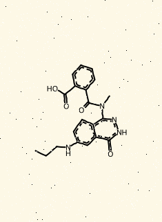 CCCNc1ccc2c(N(C)C(=O)c3ccccc3C(=O)O)n[nH]c(=O)c2c1